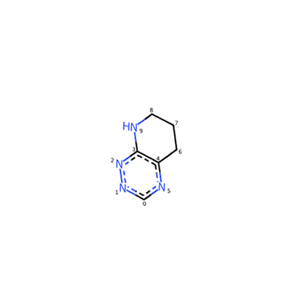 c1nnc2c(n1)CCCN2